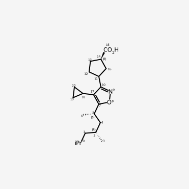 CC(C)C[C@@H](C)C[C@H](C)c1onc(C2CC[C@@H](C(=O)O)C2)c1C1CC1